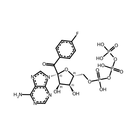 Nc1ncnc2c1ncn2[C@]1(C(=O)c2ccc(F)cc2)O[C@H](COP(=O)(O)OP(=O)(O)OP(=O)(O)O)[C@@H](O)[C@H]1O